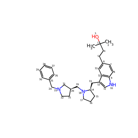 CC(C)(O)CCc1ccc2[nH]cc(C[C@H]3CCCN3C[C@H]3CCN(Cc4ccccc4)C3)c2c1